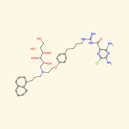 N=C(NCCCCc1ccc(OCCN(CCCc2cccc3ccccc23)C[C@H](O)[C@@H](O)[C@H](O)[C@H](O)CO)cc1)NC(=O)c1nc(Cl)c(N)nc1N